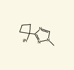 CC(C)C1(c2ncn(C)n2)CCC1